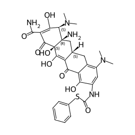 CN(C)c1cc(NC(=O)Sc2ccccc2)c(O)c2c1C[C@H]1C[C@@]3(N)[C@H](N(C)C)C(O)=C(C(N)=O)C(=O)[C@@]3(O)C(O)=C1C2=O